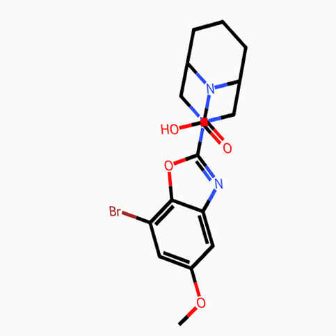 COc1cc(Br)c2oc(N3CC4CCCC(C3)N4C(=O)O)nc2c1